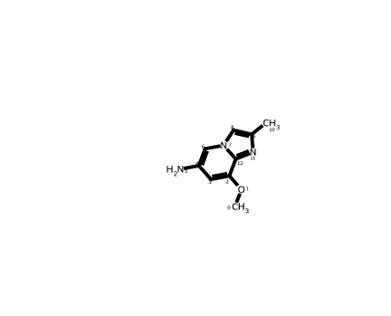 COc1cc(N)cn2cc(C)nc12